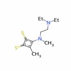 CCN(CC)CCN(C)c1c(C)c(=S)c1=S